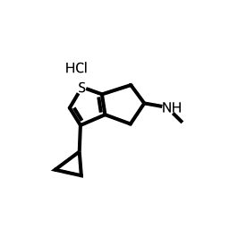 CNC1Cc2scc(C3CC3)c2C1.Cl